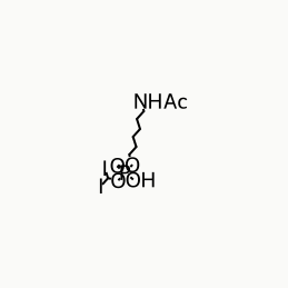 CC(=O)NCCCCCCOP(=O)(O)OC(I)I